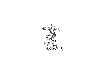 Cc1cc(C(N)C(=O)NC2(F)C(=O)N3[C@@H](C(=O)O)C(C)(C)S[C@@H]32)c(C)s1